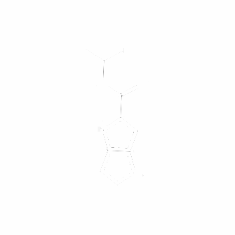 CC(I)OC(=O)c1cc2occc2[nH]1